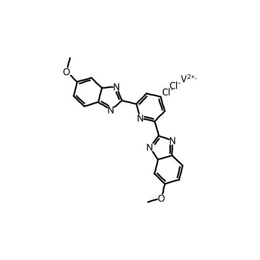 COC1=CC2N=C(c3cccc(C4=NC5C=C(OC)C=CC5=N4)n3)N=C2C=C1.[Cl-].[Cl-].[V+2]